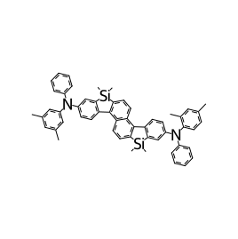 Cc1cc(C)cc(N(c2ccccc2)c2ccc3c(c2)[Si](C)(C)c2ccc4c5c(ccc4c2-3)[Si](C)(C)c2cc(N(c3ccccc3)c3ccc(C)cc3C)ccc2-5)c1